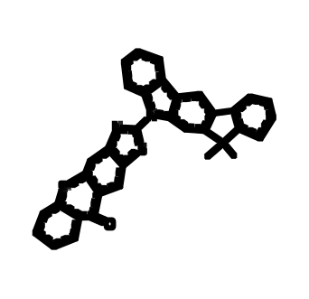 CC1(C)c2ccccc2-c2cc3c4ccccc4n(-c4nc5cc6sc7ccccc7c(=O)c6cc5s4)c3cc21